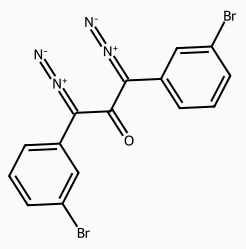 [N-]=[N+]=C(C(=O)C(=[N+]=[N-])c1cccc(Br)c1)c1cccc(Br)c1